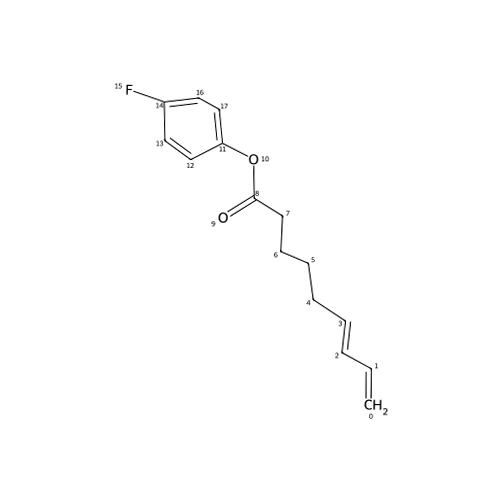 C=CC=CCCCCC(=O)Oc1ccc(F)cc1